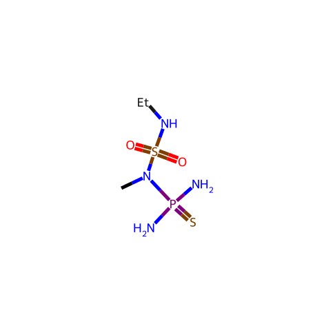 CCNS(=O)(=O)N(C)P(N)(N)=S